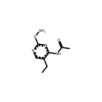 CCc1cnc(O[SiH3])nc1NC(C)=O